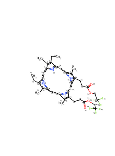 CCC1=C(C)c2cc3[nH]c(cc4nc(cc5[nH]c(cc1n2)c(C)c5CCC(=O)OCC(F)(F)F)C(CCC(=O)OCC(F)(F)F)=C4C)c(C)c3CC